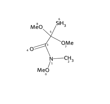 CON(C)C(=O)C([SiH3])(OC)OC